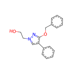 OCCn1cc(-c2ccccc2)c(OCc2ccccc2)n1